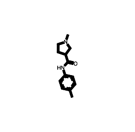 Cc1ccc(NC(=O)C2CCN(C)C2)cc1